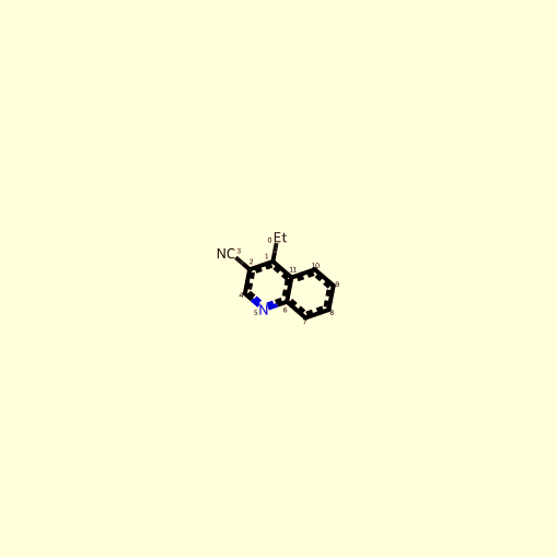 CCc1c(C#N)cnc2ccccc12